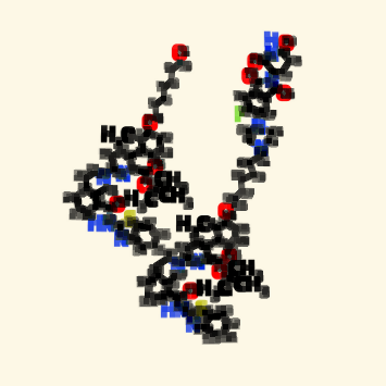 Cc1c(OCCCCCCC=O)cccc1-c1ccc(N2CCc3cccc(C(=O)Nc4nc5ccccc5s4)c3C2)nc1C(=O)OC(C)(C)C.Cc1c(OCCCCCCCN2CCN(c3cc4c(cc3F)C(=O)N(C3CCC(=O)NC3=O)C4=O)CC2)cccc1-c1ccc(N2CCc3cccc(C(=O)Nc4nc5ccccc5s4)c3C2)nc1C(=O)OC(C)(C)C